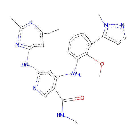 CNC(=O)c1cnc(Nc2cc(C)nc(C)n2)cc1Nc1cccc(-c2ccnn2C)c1OC